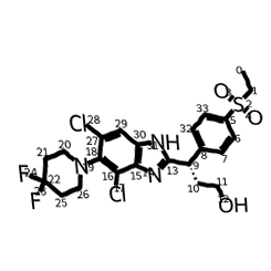 CCS(=O)(=O)c1ccc([C@H](CCO)c2nc3c(Cl)c(N4CCC(F)(F)CC4)c(Cl)cc3[nH]2)cc1